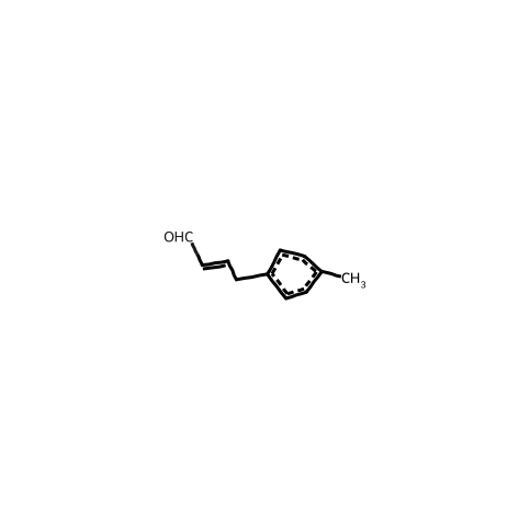 Cc1ccc(CC=CC=O)cc1